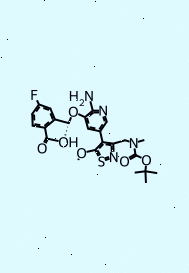 COc1snc(CN(C)C(=O)OC(C)(C)C)c1-c1cnc(N)c(O[C@H](C)c2cc(F)ccc2C(=O)O)c1